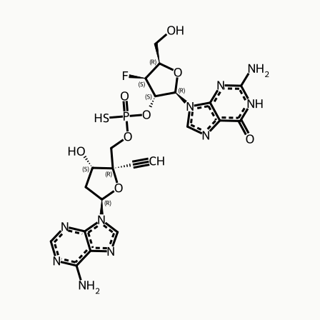 C#C[C@]1(COP(=O)(S)O[C@@H]2[C@@H](F)[C@@H](CO)O[C@H]2n2cnc3c(=O)[nH]c(N)nc32)O[C@@H](n2cnc3c(N)ncnc32)C[C@@H]1O